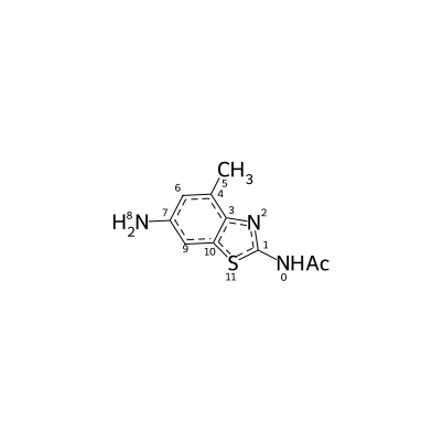 CC(=O)Nc1nc2c(C)cc(N)cc2s1